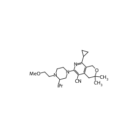 COCCN1CCN(c2nc(C3CC3)c3c(c2C#N)CC(C)(C)OC3)CC1C(C)C